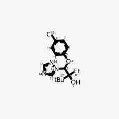 CCC(O)(C(Oc1ccc(Cl)cc1)n1cncn1)C(C)(C)C